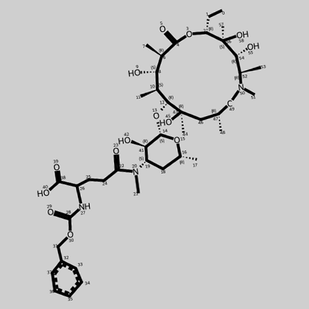 CC[C@H]1OC(=O)[C@H](C)[C@@H](O)[C@H](C)[C@@H](O[C@@H]2O[C@H](C)C[C@H](N(C)C(=O)CCC(NC(=O)OCc3ccccc3)C(=O)O)[C@H]2O)[C@](C)(O)C[C@@H](C)CN(C)[C@H](C)[C@@H](O)[C@]1(C)O